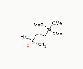 CO[Si](CC[Si](C)(C)[O])(OC)OC